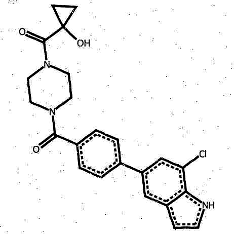 O=C(c1ccc(-c2cc(Cl)c3[nH]ccc3c2)cc1)N1CCN(C(=O)C2(O)CC2)CC1